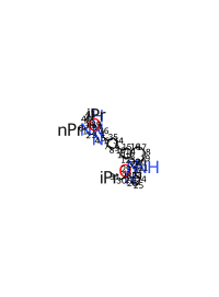 CCCN(Cc1nc(-c2ccc(-c3ccc4c(c3)CCCCc3[nH]c([C@@H]5CCCN5C(=O)CC(C)C)nc3-4)cc2)c[nH]1)C(=O)CC(C)C